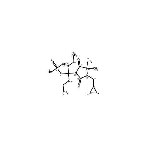 CCOC(CP(=O)(O)O)(OCC)N1C(=O)N(CC2CO2)C(C)(C)C1=O